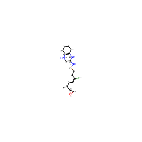 CC(C/C=C(/Cl)CCSNC1CNC2=C(CCCC2)N1)C1CO1